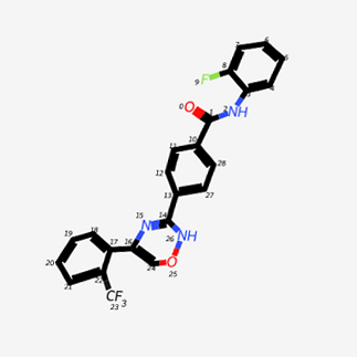 O=C(Nc1ccccc1F)c1ccc(C2=NC(c3ccccc3C(F)(F)F)=CON2)cc1